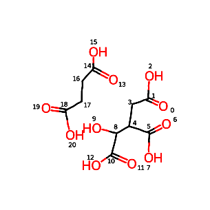 O=C(O)CC(C(=O)O)C(O)C(=O)O.O=C(O)CCC(=O)O